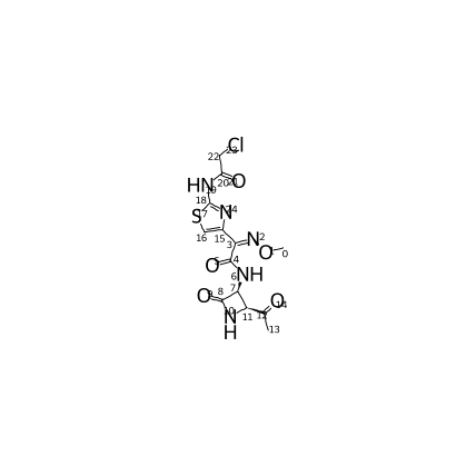 CON=C(C(=O)N[C@@H]1C(=O)N[C@@H]1C(C)=O)c1csc(NC(=O)CCl)n1